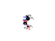 Cc1ccc(NS(=O)(=O)c2ccnc(OCC(C)(C)O)c2)c2[nH]cc(C#N)c12